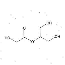 O=C(CO)OC(CO)CO